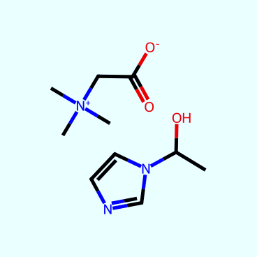 CC(O)n1ccnc1.C[N+](C)(C)CC(=O)[O-]